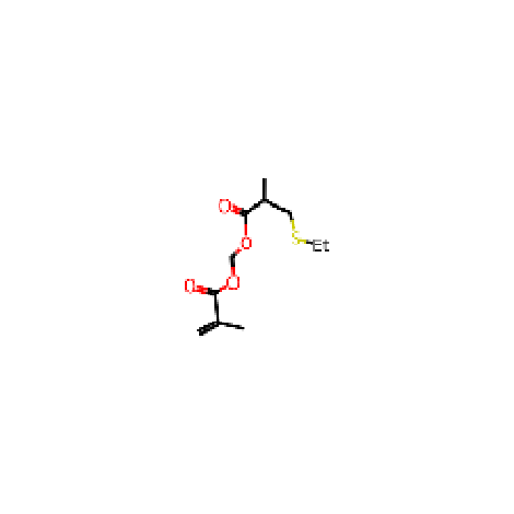 C=C(C)C(=O)OCOC(=O)C(C)CSCC